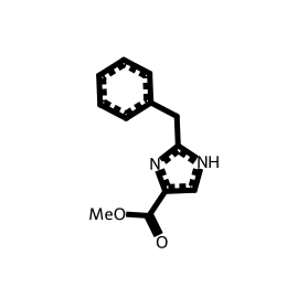 COC(=O)c1c[nH]c(Cc2ccccc2)n1